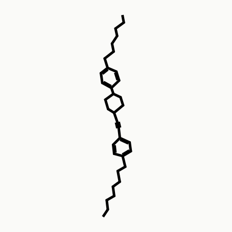 CCCCCCCCc1ccc(C#CC2CCC(c3ccc(CCCCCCC)cc3)CC2)cc1